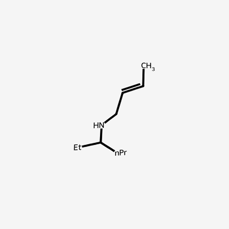 C/C=C/CNC(CC)CCC